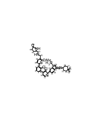 COc1nc(-c2cccc(-c3ccnc(-c4ccc5c(CNC6CCC(F)(F)CC6)cn(C)c5c4)c3Cl)c2Cl)ccc1CNCC1CCC(=O)N1